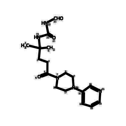 CC(C)(CCC(=O)N1CCN(c2cccnc2)CC1)NC(=O)NC=O